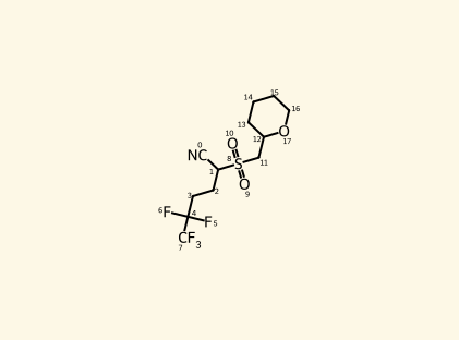 N#CC(CCC(F)(F)C(F)(F)F)S(=O)(=O)CC1CCCCO1